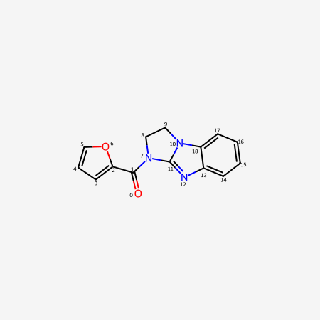 O=C(c1ccco1)N1CCn2c1nc1ccccc12